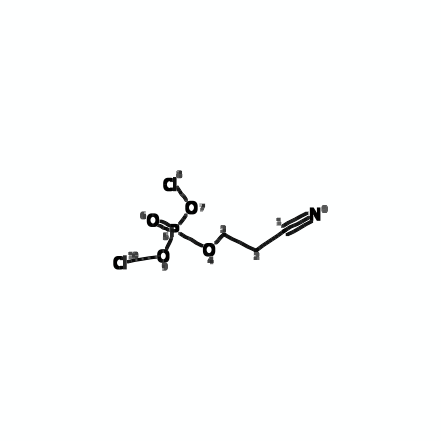 N#CCCOP(=O)(OCl)OCl